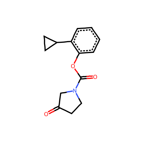 O=C1CCN(C(=O)Oc2ccccc2C2CC2)C1